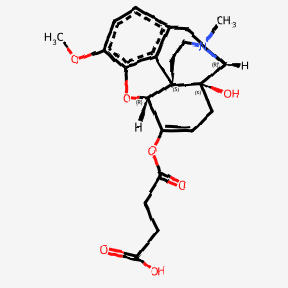 COc1ccc2c3c1O[C@H]1C(OC(=O)CCC(=O)O)=CC[C@@]4(O)[C@@H](C2)N(C)CC[C@]314